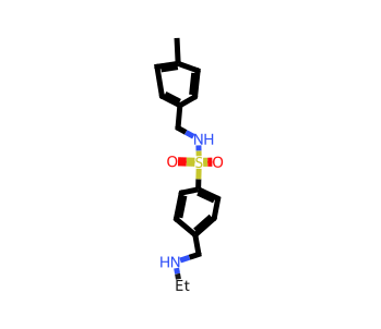 CCNCc1ccc(S(=O)(=O)NCc2ccc(C)cc2)cc1